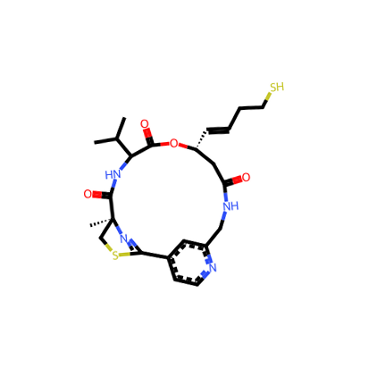 CC(C)C1NC(=O)[C@]2(C)CSC(=N2)c2ccnc(c2)CNC(=O)C[C@@H](/C=C/CCS)OC1=O